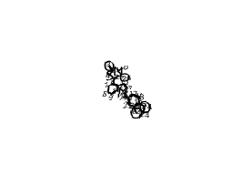 CN1C(=O)SC(c2cccc3c2ccn3Cc2ccc3c(c2)OCO3)C1=O